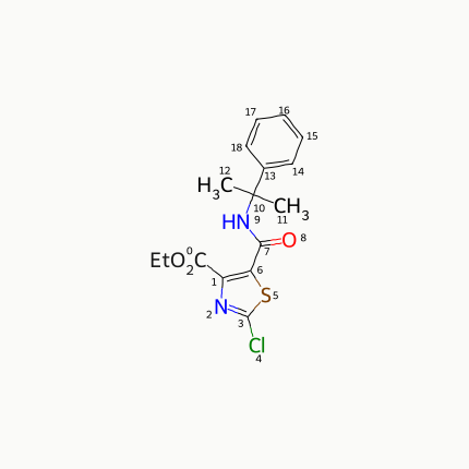 CCOC(=O)c1nc(Cl)sc1C(=O)NC(C)(C)c1ccccc1